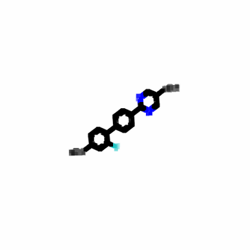 CCCCCCCCc1cnc(-c2ccc(-c3ccc(CCCCCCCC)cc3F)cc2)nc1